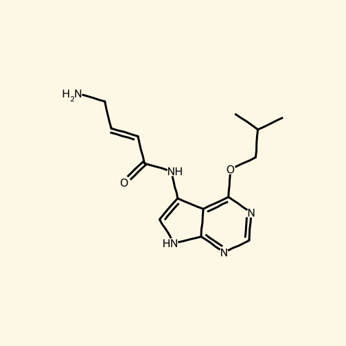 CC(C)COc1ncnc2[nH]cc(NC(=O)C=CCN)c12